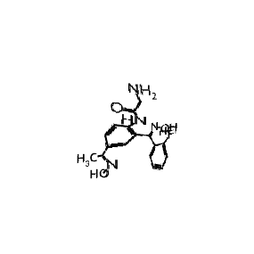 CC(=NO)c1ccc(NC(=O)CN)c(C(=NO)c2ccccc2F)c1.Cl